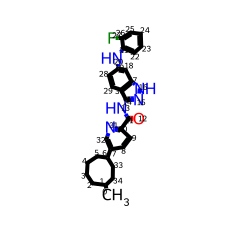 CC1CCCCC(c2ccc(C(=O)Nc3n[nH]c4cc(Nc5ccccc5F)ccc34)nc2)CC1